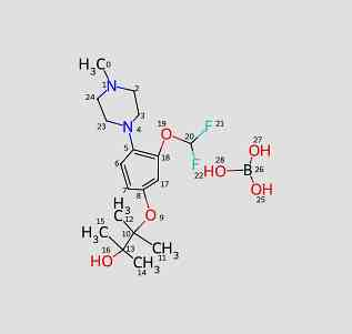 CN1CCN(c2ccc(OC(C)(C)C(C)(C)O)cc2OC(F)F)CC1.OB(O)O